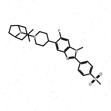 CC(C)N1C2CCC1CC(N1CCC(c3cc4nc(-c5ccc(S(C)(=O)=O)cc5)n(C)c4cc3F)CC1)C2